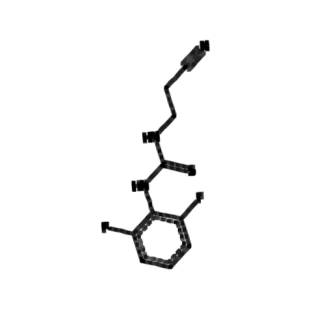 N#CCCNC(=S)Nc1c(F)cccc1F